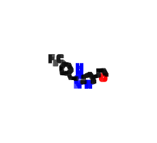 FC(F)(F)c1ccc(Cc2nc3ncc(-c4ccco4)cc3[nH]2)cc1